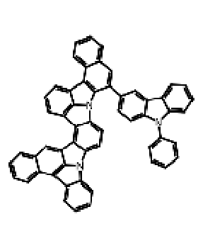 c1ccc(-n2c3ccccc3c3cc(-c4cc5ccccc5c5c6cccc7c8c9c%10cc%11ccccc%11c%11c%12ccccc%12n(c9ccc8n(c45)c76)c%10%11)ccc32)cc1